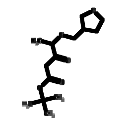 CC(OCC1CCOC1)C(=O)CC(=O)OC(C)(C)C